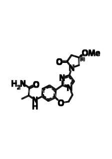 CO[C@@H]1CC(=O)N(c2cn3c(n2)-c2ccc(NC(C)C(N)=O)cc2OCC3)C1